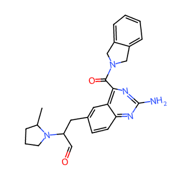 CC1CCCN1C(C=O)Cc1ccc2nc(N)nc(C(=O)N3Cc4ccccc4C3)c2c1